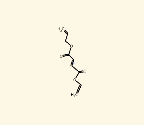 C=CCOC(=O)/C=C/C(=O)OC=C